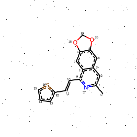 Cc1cc2cc3c(cc2c(C=Cc2cccs2)n1)OCO3